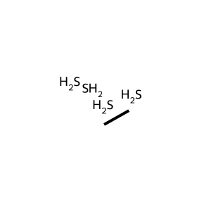 CC.S.S.S.S